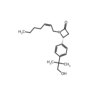 CCCC/C=C\CN1C(=O)C[C@@H]1c1ccc(C(C)(C)CO)cc1